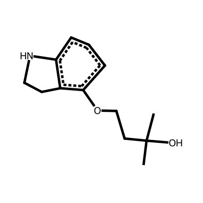 CC(C)(O)CCOc1cccc2c1CCN2